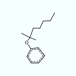 CCCCCC(C)(C)Oc1ccccc1